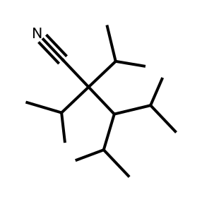 CC(C)C(C(C)C)C(C#N)(C(C)C)C(C)C